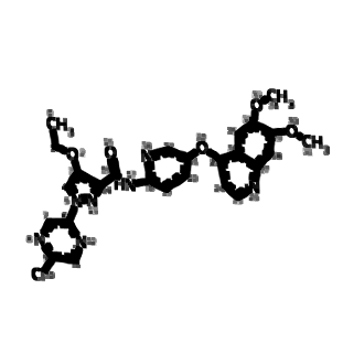 CCOc1cn(-c2cnc(Cl)cn2)nc1C(=O)Nc1ccc(Oc2ccnc3cc(OC)c(OC)cc23)cn1